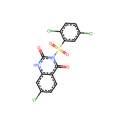 O=c1[nH]c2cc(Cl)ccc2c(=O)n1S(=O)(=O)c1cc(Cl)ccc1Cl